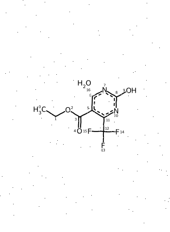 CCOC(=O)c1cnc(O)nc1C(F)(F)F.O